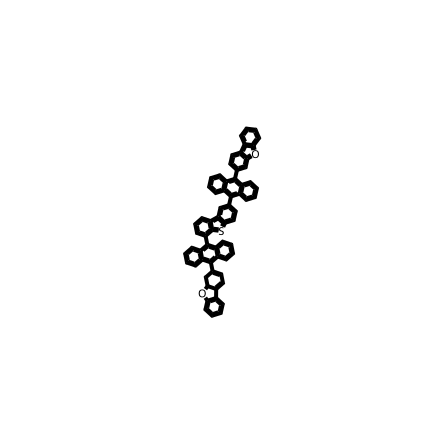 C1=C(c2c3ccccc3c(-c3cccc4c3sc3ccc(-c5c6ccccc6c(-c6ccc7c(c6)oc6ccccc67)c6ccccc56)cc34)c3ccccc23)CC2Oc3ccccc3C2=C1